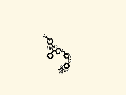 CC(=O)N1CCC(C(=O)NC(c2ccccc2)C2CCN(Cc3ccc(Oc4ccc(NS(C)(=O)=O)cc4)nc3)CC2)CC1